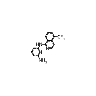 Nc1cccc(Nc2nccc3c(C(F)(F)F)cccc23)n1